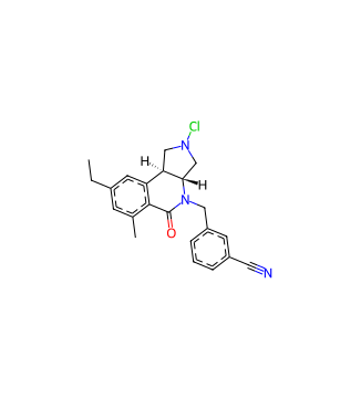 CCc1cc(C)c2c(c1)[C@H]1CN(Cl)C[C@@H]1N(Cc1cccc(C#N)c1)C2=O